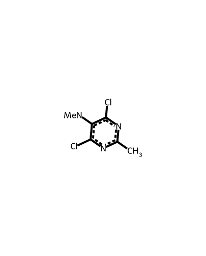 CNc1c(Cl)nc(C)nc1Cl